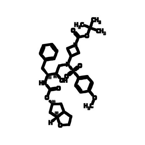 COc1ccc(S(=O)(=O)N(C[C@@H](O)[C@H](Cc2ccccc2)NC(=O)O[C@@H]2CC3CCO[C@@H]3C2)C2CN(C(=O)OC(C)(C)C)C2)cc1